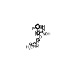 CS(=N)(=O)CC(=O)N1CC(Oc2nonc2/C(=N/O)NC2Cc3ccc(F)cc32)C1